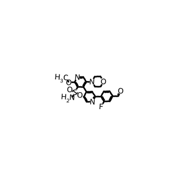 COc1ncc(N2CCOCC2)c(-c2ccnc(-c3ccc(C=O)cc3F)c2)c1S(N)(=O)=O